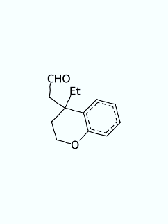 CCC1(CC=O)CCOc2ccccc21